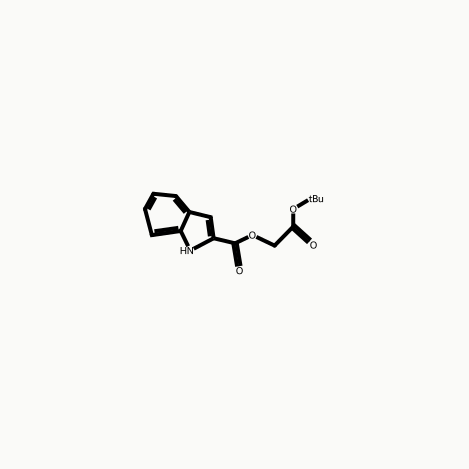 CC(C)(C)OC(=O)COC(=O)c1cc2ccccc2[nH]1